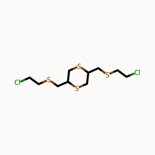 ClCCSCC1CSC(CSCCCl)CS1